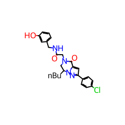 CCCCC1CN(CC(=O)NCc2cccc(O)c2)C(=O)c2cc(-c3ccc(Cl)cc3)nn21